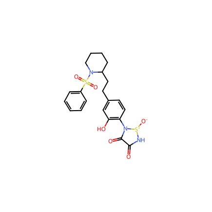 O=c1[nH][s+]([O-])n(-c2ccc(CCC3CCCCN3S(=O)(=O)c3ccccc3)cc2O)c1=O